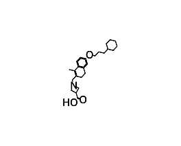 CC1=C(CN2CC(C(=O)O)C2)CCc2cc(OCCCC3CCCCC3)ccc21